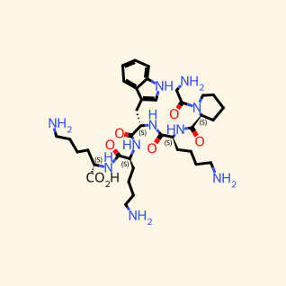 NCCCC[C@H](NC(=O)[C@H](CCCCN)NC(=O)[C@H](Cc1c[nH]c2ccccc12)NC(=O)[C@H](CCCCN)NC(=O)[C@@H]1CCCCN1C(=O)CN)C(=O)O